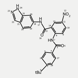 CC(C)(C)c1ccc(C(=O)Nc2ccc([N+](=O)[O-])cc2C(=O)Nc2ccc3cn[nH]c3c2)cc1